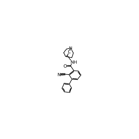 N#Cc1c(C(=O)NC2CN3CCC2CC3)cccc1-c1ccccc1